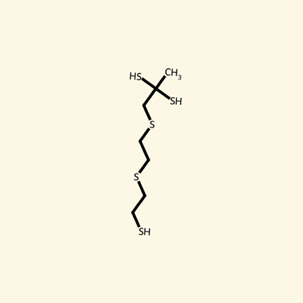 CC(S)(S)CSCCSCCS